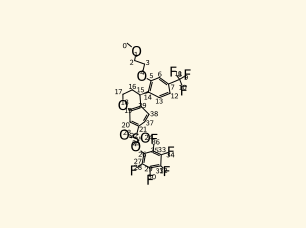 COCCOc1cc(C(F)(F)F)ccc1[C@@H]1CCOc2cc(S(=O)(=O)Oc3c(F)c(F)c(F)c(F)c3F)ccc21